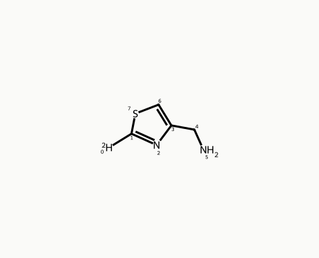 [2H]c1nc(CN)cs1